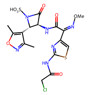 CO/N=C(\C(=O)N[C@@H]1C(=O)N(S(=O)(=O)O)[C@H]1c1c(C)noc1C)c1csc(NC(=O)CCl)n1